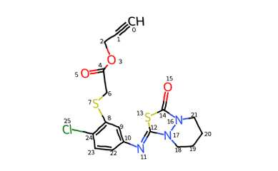 C#CCOC(=O)CSc1cc(N=c2sc(=O)n3n2CCCC3)ccc1Cl